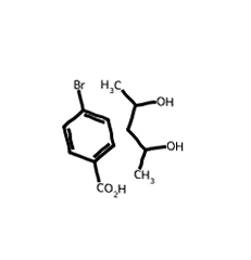 CC(O)CC(C)O.O=C(O)c1ccc(Br)cc1